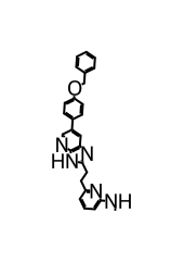 CNc1cccc(CCc2nc3cc(-c4ccc(OCc5ccccc5)cc4)cnc3[nH]2)n1